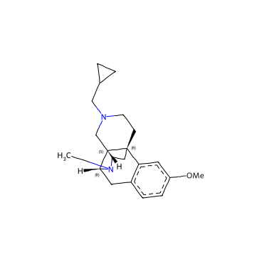 COc1ccc2c(c1)[C@@]13CCN(CC4CC4)C[C@H]1[C@@H](C2)N(C)CC3